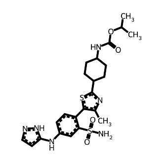 Cc1nc(C2CCC(NC(=O)OC(C)C)CC2)sc1-c1ccc(Nc2ccn[nH]2)cc1S(N)(=O)=O